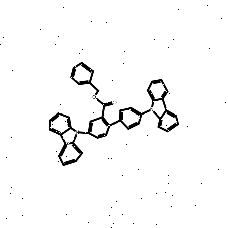 O=C(OCc1ccccc1)c1cc(-n2c3ccccc3c3ccccc32)ccc1-c1ccc(-n2c3ccccc3c3ccccc32)cc1